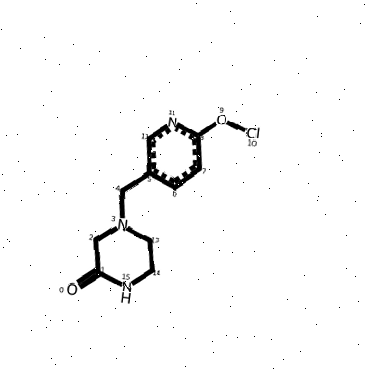 O=C1CN(Cc2ccc(OCl)nc2)CCN1